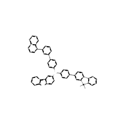 CC1(C)c2ccccc2-c2ccc(-c3ccc(N(c4ccc(-c5cccc(-c6cccc7ccccc67)c5)cc4)c4ccc5oc6ccccc6c5c4)cc3)cc21